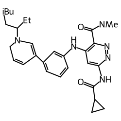 CCC(C)CC(CC)N1C=C(c2cccc(Nc3cc(NC(=O)C4CC4)nnc3C(=O)NC)c2)C=CC1